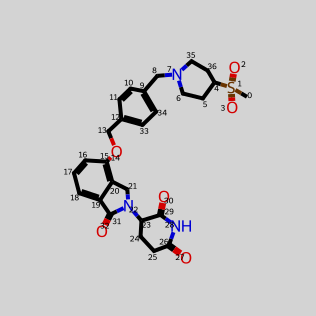 CS(=O)(=O)C1CCN(Cc2ccc(COc3cccc4c3CN(C3CCC(=O)NC3=O)C4=O)cc2)CC1